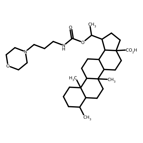 CC1CCCC2(C)C1CCC1(C)C3CCC4(C(=O)O)CCC(C(C)OC(=O)NCCCN5CCOCC5)C4C3CCC21